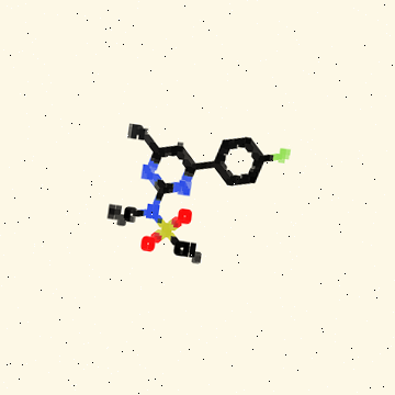 CC(C)c1[c]c(-c2ccc(F)cc2)nc(N(C)S(C)(=O)=O)n1